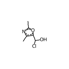 Cc1nc(C)c(C(O)Cl)o1